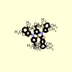 CC(C)(C)c1ccc2c(c1)B1c3c(cc(C(C)(C)C)cc3N(c3ccc4c(c3)C(C)(C)CCC4(C)C)c3sc4cc5c(cc4c31)C(C)(C)CCC5(C)C)N2c1ccc2c(c1)C(C)(C)CCC2(C)C